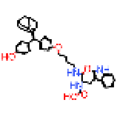 O=C(O)NC(Cc1c[nH]c2ccccc12)C(=O)NCCCCOc1ccc(C(=C2C3CC4CC(C3)CC2C4)c2ccc(O)cc2)cc1